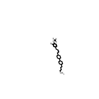 CCCCCC1CCC(C2CCC(C/C=C\Cc3ccc(OC(F)(F)F)c(F)c3)CC2)CC1